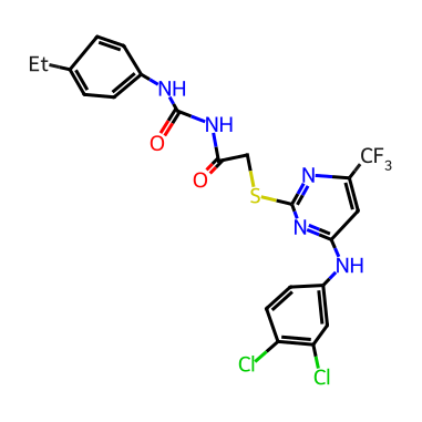 CCc1ccc(NC(=O)NC(=O)CSc2nc(Nc3ccc(Cl)c(Cl)c3)cc(C(F)(F)F)n2)cc1